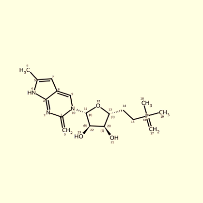 C=C1N=c2[nH]c(C)cc2=CN1[C@@H]1O[C@H](CCP(=C)(C)C)[C@@H](O)[C@H]1O